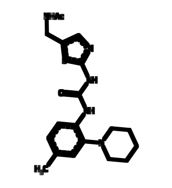 CC(=O)NCc1cnc(NC(=O)Nc2ccc(C)cc2N2CCCCC2)s1